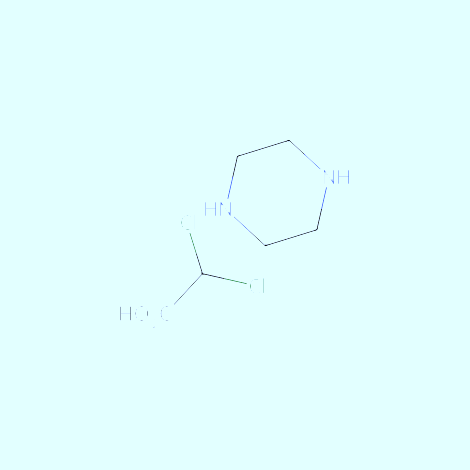 C1CNCCN1.O=C(O)C(Cl)Cl